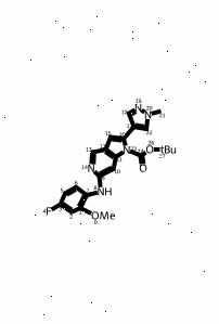 COc1cc(F)ccc1Nc1cc2c(cn1)cc(-c1cnn(C)c1)n2C(=O)OC(C)(C)C